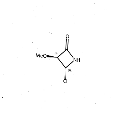 CO[C@H]1C(=O)N[C@@H]1Cl